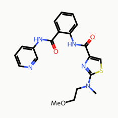 COCCN(C)c1nc(C(=O)Nc2ccccc2C(=O)Nc2cccnc2)cs1